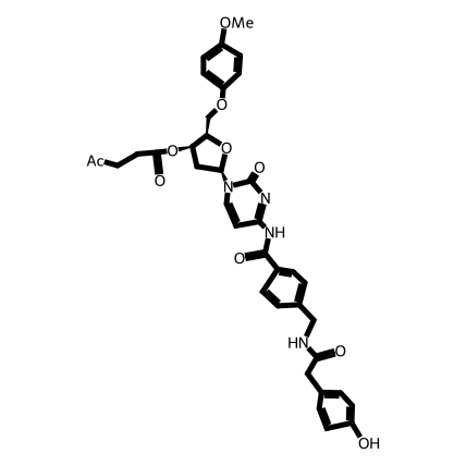 COc1ccc(OC[C@H]2O[C@@H](n3ccc(NC(=O)c4ccc(CNC(=O)Cc5ccc(O)cc5)cc4)nc3=O)C[C@H]2OC(=O)CCC(C)=O)cc1